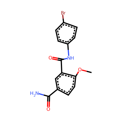 COc1ccc(C(N)=O)cc1C(=O)Nc1ccc(Br)cc1